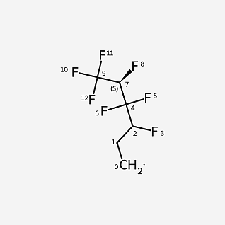 [CH2]CC(F)C(F)(F)[C@H](F)C(F)(F)F